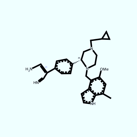 COc1cc(C)c2[nH]ccc2c1CN1CCN(CC2CC2)C[C@H]1c1ccc(/C(C=N)=C/N)cc1